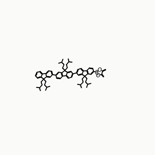 C=C1OB(c2ccc3c(c2)C(CCC(C)C)(CCC(C)C)c2cc(-c4ccc5c(c4)C(CCC(C)C)(CCC(C)C)c4cc(-c6ccc7c(c6)C(CCC(C)C)(CCC(C)C)c6ccccc6-7)ccc4-5)ccc2-3)OC1=C